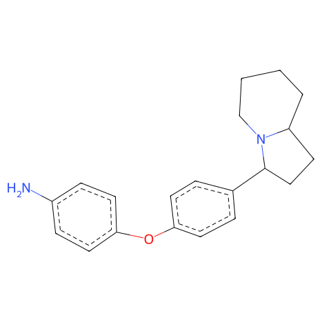 Nc1ccc(Oc2ccc(C3CCC4CCCCN43)cc2)cc1